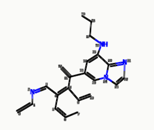 C=C\N=C/C(/C=C\C)=C(/C=C)C(=C)c1cc(NCCC)c2nccn2c1